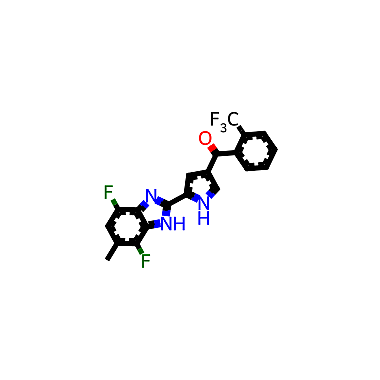 Cc1cc(F)c2nc(-c3cc(C(=O)c4ccccc4C(F)(F)F)c[nH]3)[nH]c2c1F